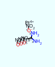 CCC(N)N.O=[N+]([O-])[O-].O=[N+]([O-])[O-].O=[N+]([O-])[O-].O=[N+]([O-])[O-].[Pt+4]